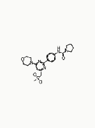 CS(=O)(=O)Cc1cc(N2CCOCC2)nc(-c2ccc(NC(=O)N3CCCC3)cc2)n1